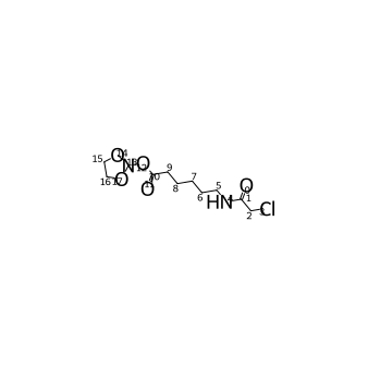 O=C(CCl)NCCCCCC(=O)ON1OCCO1